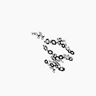 CC(=O)O.CC(=O)O.CC(=O)O.CN1CCN([C@H]2CC[C@H](n3nc(-c4ccc(NCc5cc6ccccc6[nH]5)cc4)c4c(N)ncnc43)CC2)CC1.COc1ncccc1CNc1ccc(-c2nn([C@H]3CC[C@H](N4CCN(C)CC4)CC3)c3ncnc(N)c23)cc1.Nc1ncnc2c1c(-c1ccc(Oc3ccccc3)cc1)nn2-c1ccccn1